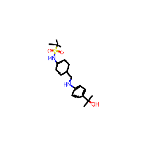 CC(C)(O)c1ccc(NCC2CCC(NS(=O)(=O)C(C)(C)C)CC2)cc1